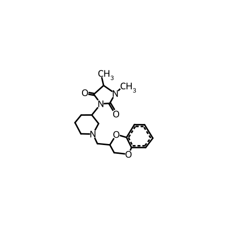 CC1C(=O)N(C2CCCN(CC3COc4ccccc4O3)C2)C(=O)N1C